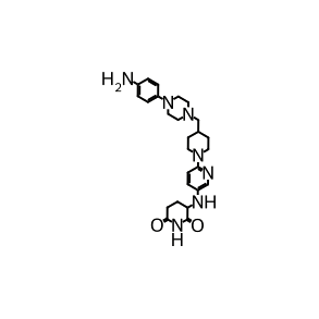 Nc1ccc(N2CCN(CC3CCN(c4ccc(NC5CCC(=O)NC5=O)cn4)CC3)CC2)cc1